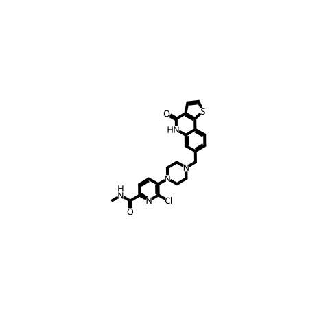 CNC(=O)c1ccc(N2CCN(Cc3ccc4c(c3)[nH]c(=O)c3ccsc34)CC2)c(Cl)n1